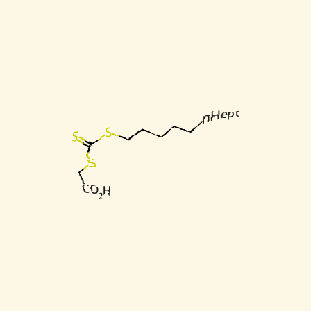 CCCCCCCCCCCCSC(=S)SCC(=O)O